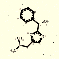 CN(C)Cc1cnc([C@@H](O)c2ccccc2)o1